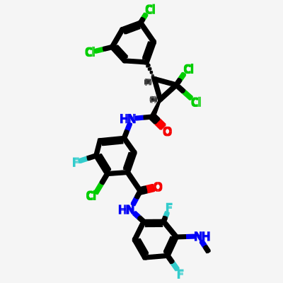 CNc1c(F)ccc(NC(=O)c2cc(NC(=O)[C@H]3[C@H](c4cc(Cl)cc(Cl)c4)C3(Cl)Cl)cc(F)c2Cl)c1F